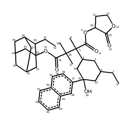 CCC1CC(C(C)(C(=O)OC2CCOC2=O)C(C)(C)C(=O)OC23CC4CC(CC(C4)C2CC)C3)CC(O)(c2ccc3ccccc3c2)C1